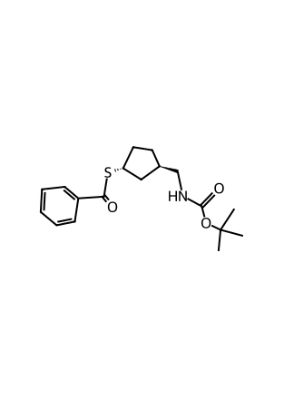 CC(C)(C)OC(=O)NC[C@@H]1CC[C@@H](SC(=O)c2ccccc2)C1